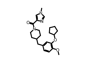 COc1ccc(CC2CCN(C(=O)c3cn(C)cn3)CC2)cc1OC1CCCC1